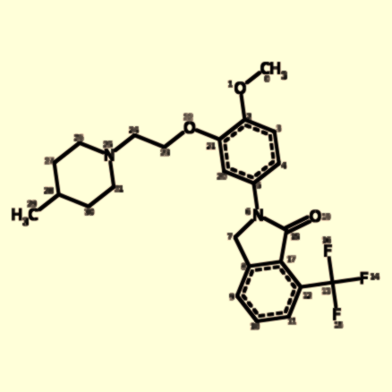 COc1ccc(N2Cc3cccc(C(F)(F)F)c3C2=O)cc1OCCN1CCC(C)CC1